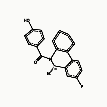 CC[C@H]1c2cc(F)ccc2-c2ccccc2N1C(=O)c1ccc(O)cc1